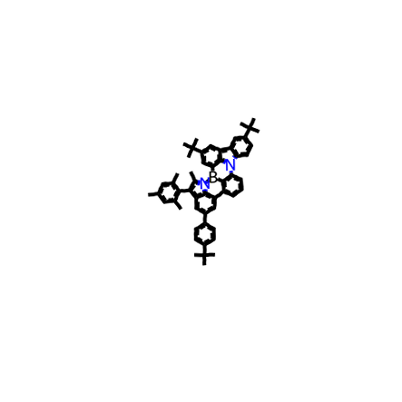 Cc1cc(C)c(-c2c(C)n3c4c(cc(-c5ccc(C(C)(C)C)cc5)cc24)-c2cccc4c2B3c2cc(C(C)(C)C)cc3c5cc(C(C)(C)C)ccc5n-4c23)c(C)c1